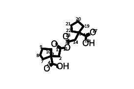 O=C(CC1(C(=O)O)CCCC1)OC(=O)CC1(C(=O)O)CCCC1